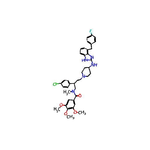 COc1cc(C(=O)N(C)CC(CCN2CCC(Nc3nc4c(Cc5ccc(F)cc5)cccc4[nH]3)CC2)c2ccc(Cl)cc2)cc(OC)c1OC